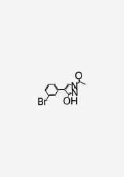 CC(=O)n1cc(-c2cccc(Br)c2)c(O)n1